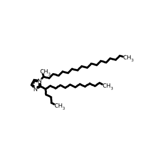 CCCCCCCCCCCCCCCCCC(C)n1ccnc1C(CCCC)CCCCCCCCCCCC